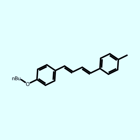 CCCCOc1ccc(/C=C/C=C/c2ccc(C)cc2)cc1